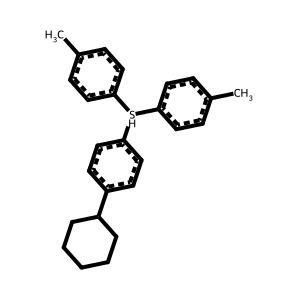 Cc1ccc([SH](c2ccc(C)cc2)c2ccc(C3CCCCC3)cc2)cc1